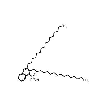 CCCCCCCCCCCCCCCCc1cc2ccccc2c(S(=O)(=O)O)c1CCCCCCCCCCCCCCCC